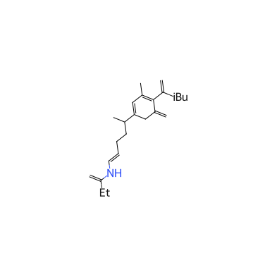 C=C(CC)N/C=C/CCC(C)C1=CC(C)=C(C(=C)C(C)CC)C(=C)C1